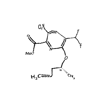 C=CC[C@@H](C)Oc1nc(C(=O)OC)c([N+](=O)[O-])cc1C(F)F